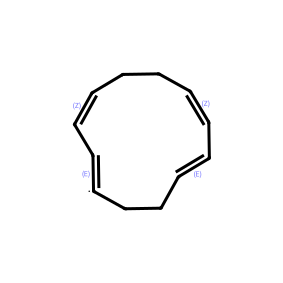 [C]1=C/C=C\CC/C=C\C=C\CC/1